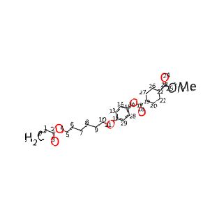 C=CC(=O)OCCCCCCOc1ccc(OC(=O)[C@H]2CC[C@H](C(=O)OC)CC2)cc1